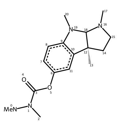 CNN(C)C(=O)Oc1ccc2c(c1)[C@]1(C)CCN(C)C1N2C